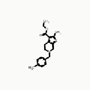 CCOC(=O)c1c(N)sc2c1CCN(Cc1ccc(C)cc1)C2